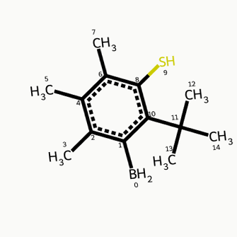 Bc1c(C)c(C)c(C)c(S)c1C(C)(C)C